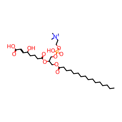 CCCCCCCCCCCCCCCC(=O)OCC(COP(=O)(O)OCC[N+](C)(C)C)OC(=O)CCCC(O)/C=C/C(=O)O